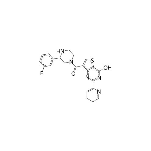 O=C(c1csc2c(O)nc(C3=CCCC=N3)nc12)N1CCNC(c2cccc(F)c2)C1